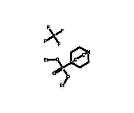 CCOP(=O)(OCC)[N+]12CCN(CC1)CC2.F[B-](F)(F)F